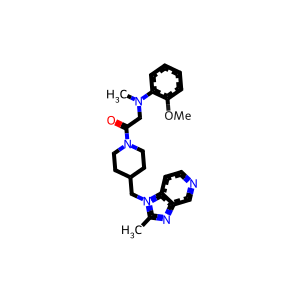 COc1ccccc1N(C)CC(=O)N1CCC(Cn2c(C)nc3cnccc32)CC1